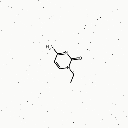 CCn1c[c]c(N)nc1=O